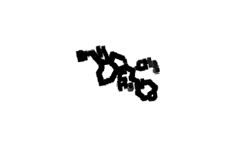 C[C@H](CN1CCOCC1)[C@H]1CC[C@H]2/C(=C/Br)CCC[C@]12C